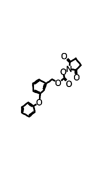 O=C(OCc1cccc(Oc2ccccc2)c1)ON1C(=O)CCC1=O